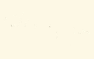 C[C@H](CC(=O)O)NC(=O)CCC(NC(=O)c1ccc(NCc2cnc3nc(N)[nH]c(=O)c3n2)cc1)C(=O)O